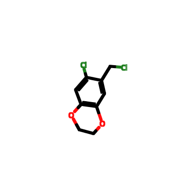 ClCc1cc2c(cc1Cl)OCCO2